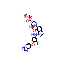 CC(C)(C)OC(=O)N1CCN2c3ccc4ncnc(Nc5ccc(Oc6ccn7ncnc7c6)c(F)c5)c4c3OC[C@@H]2C1